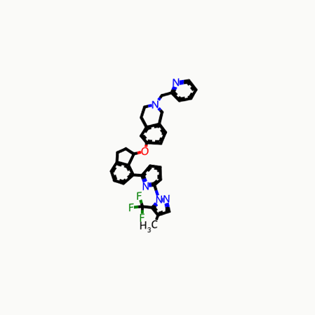 Cc1cnn(-c2cccc(-c3cccc4c3C(Oc3ccc5c(c3)CCN(Cc3ccccn3)C5)CC4)n2)c1C(F)(F)F